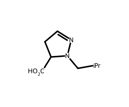 CC(C)CN1N=CCC1C(=O)O